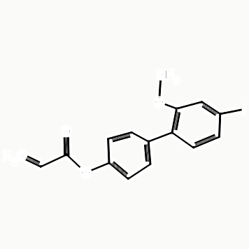 C=CC(=O)Oc1ccc(-c2ccc(I)cc2OC)cc1